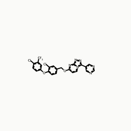 FC(F)(F)c1cc(Oc2ccc(COc3ccn4c(-c5cncnc5)nnc4n3)cc2Cl)ccc1Cl